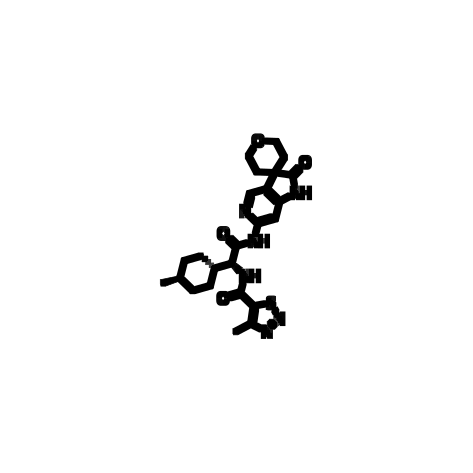 Cc1nnsc1C(=O)N[C@H](C(=O)Nc1cc2c(cn1)C1(CCOCC1)C(=O)N2)[C@H]1CC[C@H](C)CC1